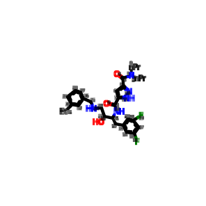 CCCN(CCC)C(=O)c1cc(C(=O)N[C@@H](Cc2cc(F)cc(F)c2)[C@H](O)CNCc2cccc(CC)c2)[nH]n1